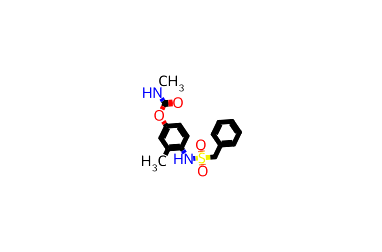 CNC(=O)Oc1ccc(NS(=O)(=O)Cc2ccccc2)c(C)c1